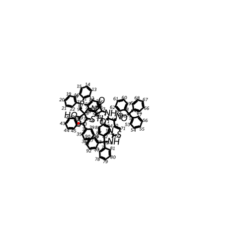 O=C(NC1C(=O)N2CC(C=P(c3ccccc3)(c3ccccc3)c3ccccc3)(C(=O)O)C(C(c3ccccc3)c3ccccc3)S[C@H]12)C(=NOC(c1ccccc1)(c1ccccc1)c1ccccc1)c1csc(NC(c2ccccc2)(c2ccccc2)c2ccccc2)n1